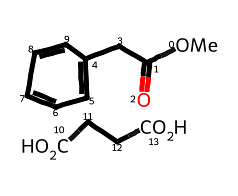 COC(=O)Cc1ccccc1.O=C(O)CCC(=O)O